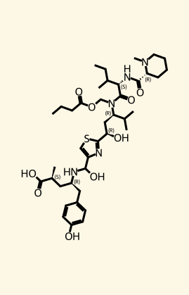 CCCC(=O)OCN(C(=O)[C@@H](NC(=O)[C@H]1CCCCN1C)C(C)CC)[C@H](C[C@@H](O)c1nc(C(O)N[C@@H](Cc2ccc(O)cc2)C[C@H](C)C(=O)O)cs1)C(C)C